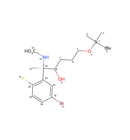 CC(C)(C)[Si](C)(C)OCCCC(O)[C@](C)(NC(=O)O)c1cc(Br)ccc1F